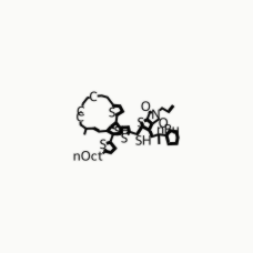 C=CCN1C(=O)c2sc(=C(/S)c3cc4c5c(S)c(c(-c6ccc(CCCCCCCC)s6)c4s3)/C=C/C(C)CCCCCCCCc3ccc-5s3)/c(=C/C(C)(CCCC)c3ccccc3)c2C1=O